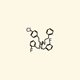 Fc1cccc(CN(Cc2ccccc2F)N(CCc2ccc(Cl)cc2)[N]CCc2ccccc2)c1